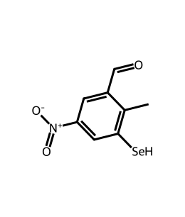 Cc1c([SeH])cc([N+](=O)[O-])cc1C=O